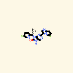 C[C@@H](c1ccc(F)cn1)n1c(=O)[nH]c2cnc(-c3cnc4ccc(F)cn34)nc21